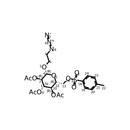 CC(=O)O[C@@H]1[C@@H](OC(C)=O)[C@H](OCCN=[N+]=[N-])O[C@H](COS(=O)(=O)c2ccc(C)cc2)[C@H]1OC(C)=O